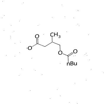 CCCCC(=O)OCC(C)CC([O])=O